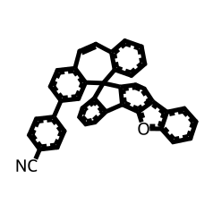 N#Cc1ccc(-c2ccc3c(c2)C2(c4ccccc4C=C3)c3ccccc3-c3c2ccc2c3oc3ccccc32)cc1